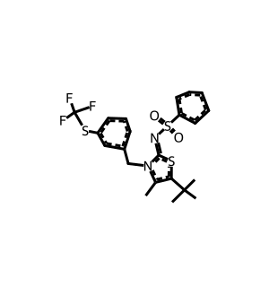 Cc1c(C(C)(C)C)s/c(=N\S(=O)(=O)c2ccccc2)n1Cc1cccc(SC(F)(F)F)c1